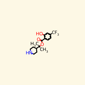 CC(C)(OC(=O)c1ccc(C(F)(F)F)cc1O)C1CCNCC1